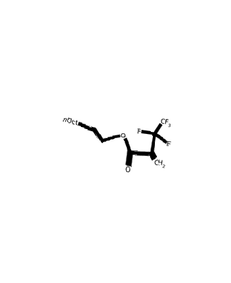 C=C(C(=O)OCCCCCCCCCC)C(F)(F)C(F)(F)F